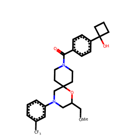 COCC1CN(c2cccc(C(F)(F)F)c2)CC2(CCN(C(=O)c3ccc(C4(O)CCC4)cc3)CC2)O1